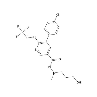 CN(CCCO)NC(=O)c1cnc(OCC(F)(F)F)c(-c2ccc(Cl)cc2)c1